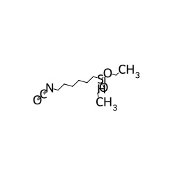 CCO[SiH](CCCCCCN=C=O)OCC